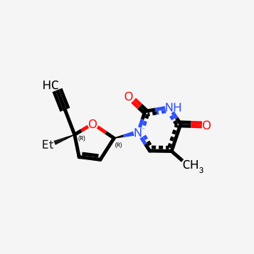 C#C[C@@]1(CC)C=C[C@H](n2cc(C)c(=O)[nH]c2=O)O1